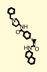 O=C(NC1CCN(Cc2ccccc2)CC1)c1ccc([C@@H]2C[C@H]2C(=O)Nc2ccc3ccccc3c2)cc1